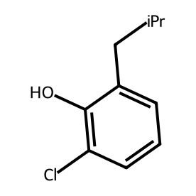 CC(C)Cc1cccc(Cl)c1O